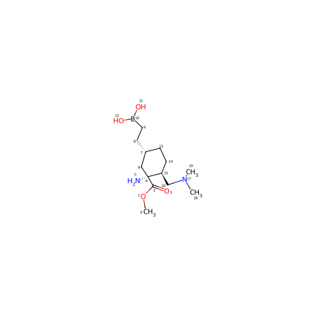 COC(=O)[C@@]1(N)C[C@H](CCB(O)O)CC[C@H]1CN(C)C